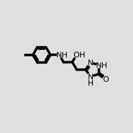 Cc1ccc(NCC(O)Cc2n[nH]c(=O)[nH]2)cc1